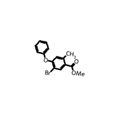 COC(=O)c1cc(Br)c(Oc2ccccc2)cc1C